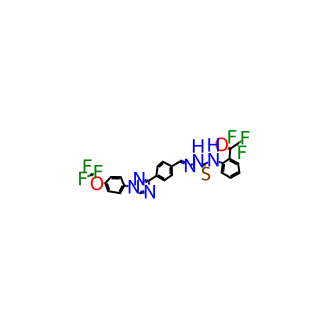 O=C(c1ccccc1NC(=S)N/N=C/c1ccc(-c2ncn(-c3ccc(OC(F)(F)F)cc3)n2)cc1)C(F)(F)F